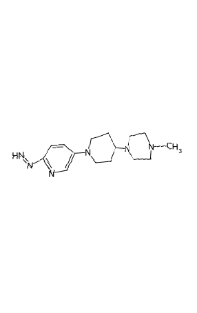 CN1CCN(C2CCN(c3ccc(N=N)nc3)CC2)CC1